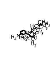 CN1C(=O)C(C)(C)C(C)(c2cccc(N)c2)N=C1NC(=O)OC(C)(C)C